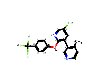 Cc1ccncc1-c1cc(F)cnc1Oc1ccc(C(F)(F)F)cc1